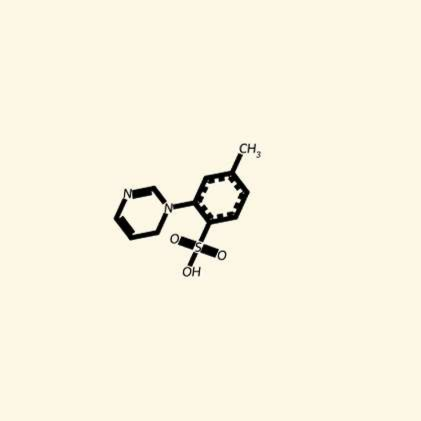 Cc1ccc(S(=O)(=O)O)c(N2C=NC=CC2)c1